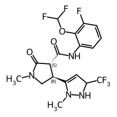 CN1C[C@H](C2=CC(C(F)(F)F)NN2C)[C@@H](C(=O)Nc2cccc(F)c2OC(F)F)C1=O